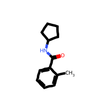 Cc1ccccc1C(=O)NC1CCCC1